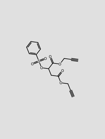 C#CCOC(=O)CC(OS(=O)(=O)c1ccccc1)C(=O)OCC#C